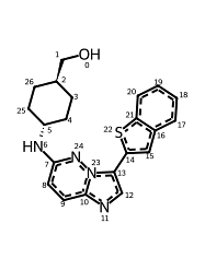 OC[C@H]1CC[C@H](Nc2ccc3ncc(-c4cc5ccccc5s4)n3n2)CC1